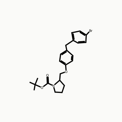 CC(C)(C)OC(=O)N1CCCC1COc1ccc(Cc2ccc(Br)cc2)cc1